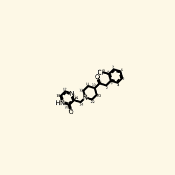 O=C(Cc1ccccc1Cl)C1CCN(Cc2ncc[nH]c2=O)CC1